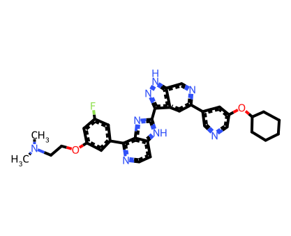 CN(C)CCOc1cc(F)cc(-c2nccc3[nH]c(-c4n[nH]c5cnc(-c6cncc(OC7CCCCC7)c6)cc45)nc23)c1